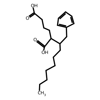 CCCCCCCC(Cc1ccccc1)C(CCCC(=O)O)C(=O)O